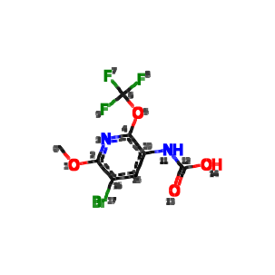 COc1nc(OC(F)(F)F)c(NC(=O)O)cc1Br